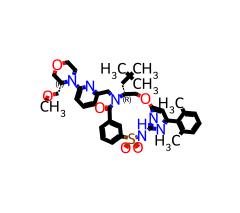 COC[C@@H]1COCCN1c1cccc(CN2C(=O)c3cccc(c3)S(=O)(=O)Nc3nc(cc(-c4c(C)cccc4C)n3)OC[C@H]2CC(C)(C)C)n1